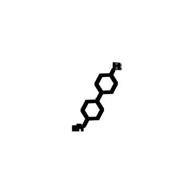 CCCC1CC[C](C2CCC(CC)CC2)CC1